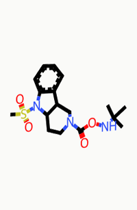 CC(C)(C)NOC(=O)N1CCC2C(C1)c1ccccc1N2S(C)(=O)=O